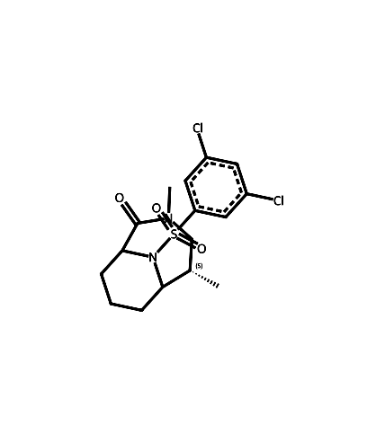 C[C@H]1CN(C)C(=O)C2CCCC1N2S(=O)(=O)c1cc(Cl)cc(Cl)c1